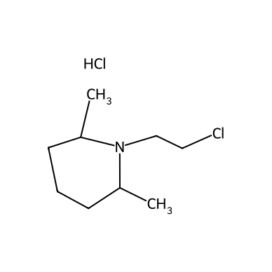 CC1CCCC(C)N1CCCl.Cl